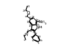 CC/N=C/c1c(-c2ccccc2)[nH]c2c(N)cc(COCC)cc12